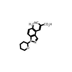 Cc1ccc2c(cnn2C2CCCCO2)c1/C=C(\C#N)C(=O)O